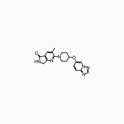 Cc1cc2c(nc1N1CCC(Oc3ccc4ncnn4c3)CC1)CNC2=O